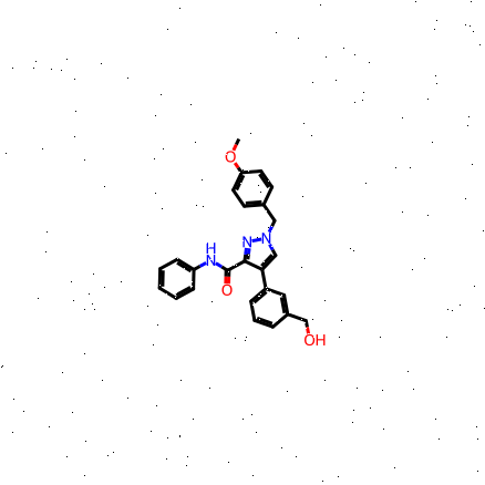 COc1ccc(Cn2cc(-c3cccc(CO)c3)c(C(=O)Nc3ccccc3)n2)cc1